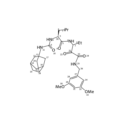 CCC(NC(=O)[C@H](CC(C)C)NC(=O)NC12CC3CC(C1)C(C3)C2)C(=O)C(=O)NCc1cc(OC)cc(OC)c1